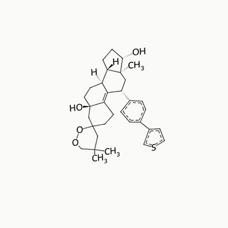 CC1(C)COOC2(CCC3=C4[C@@H](CC[C@@]3(O)C2)[C@@H]2CC[C@H](O)[C@@]2(C)C[C@@H]4c2ccc(-c3ccsc3)cc2)C1